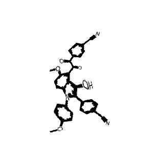 COc1ccc(-n2c(-c3ccc(C#N)cc3)c(O)c3c(C(=O)C(=O)c4ccc(C#N)cc4)c(OC)ccc32)cc1